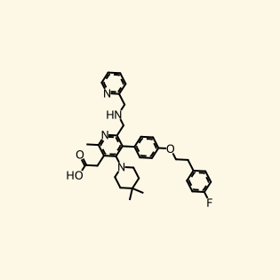 Cc1nc(CNCc2ccccn2)c(-c2ccc(OCCc3ccc(F)cc3)cc2)c(N2CCC(C)(C)CC2)c1CC(=O)O